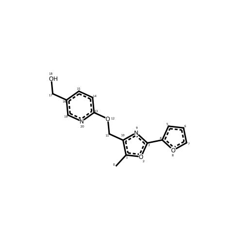 Cc1oc(-c2ccco2)nc1COc1ccc(CO)cn1